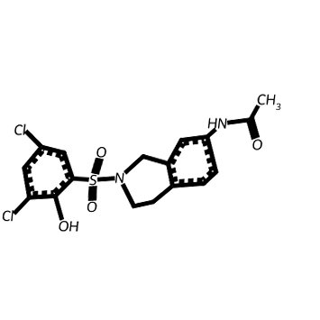 CC(=O)Nc1ccc2c(c1)CN(S(=O)(=O)c1cc(Cl)cc(Cl)c1O)CC2